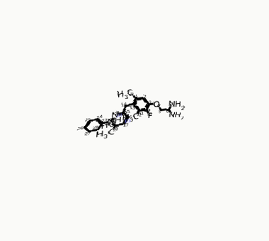 Cc1cc(OCC(N)N)c(F)c(C)c1CC(/C=C\C(C)O)=N/NC1=CC=CCC1